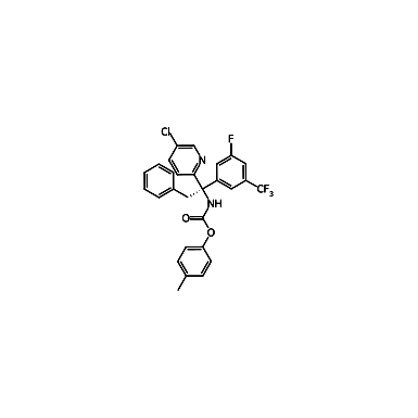 Cc1ccc(OC(=O)N[C@](Cc2ccccc2)(c2cc(F)cc(C(F)(F)F)c2)c2ccc(Cl)cn2)cc1